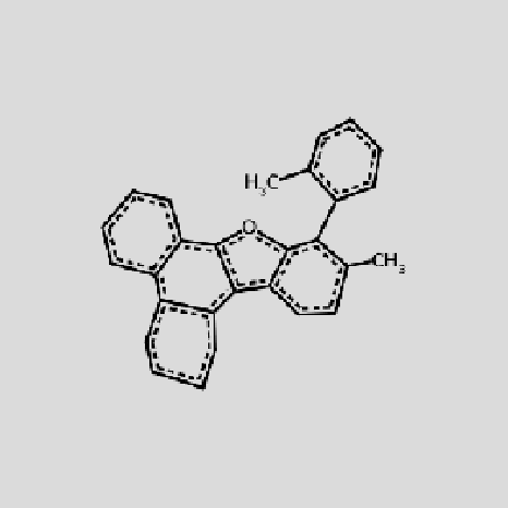 Cc1ccccc1-c1c(C)ccc2c1oc1c3ccccc3c3ccccc3c21